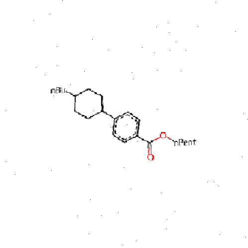 CCCCCOC(=O)c1ccc(C2CCC(CCCC)CC2)cc1